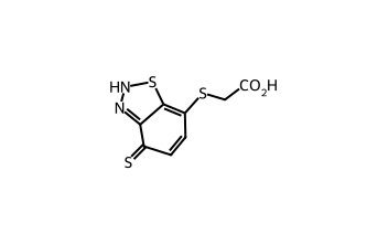 O=C(O)CSc1ccc(=S)c2n[nH]sc1-2